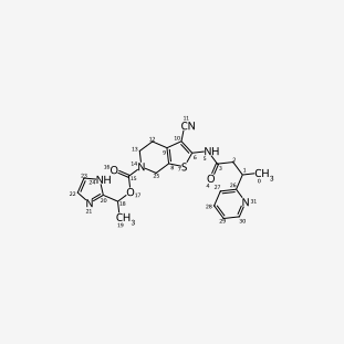 CC(CC(=O)Nc1sc2c(c1C#N)CCN(C(=O)OC(C)c1ncc[nH]1)C2)c1ccccn1